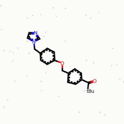 CC(C)(C)C(=O)c1ccc(COc2ccc(Cn3ccnc3)cc2)cc1